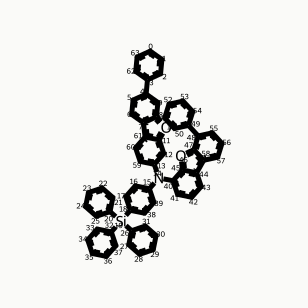 c1ccc(-c2ccc3c(c2)oc2cc(N(c4ccc([Si](c5ccccc5)(c5ccccc5)c5ccccc5)cc4)c4cccc5c4oc4c(-c6ccccc6)cccc45)ccc23)cc1